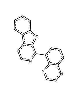 c1cc(-c2nccc3c2oc2ccccc23)c2nccnc2c1